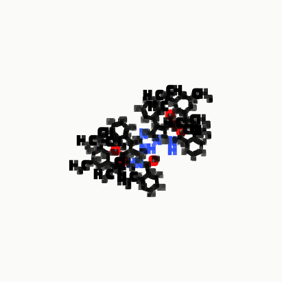 Cc1ccccc1C(=O)NC1=N/C(=N\c2[nH]c(NC(=O)c3ccccc3C)c(C(=O)OC3C(C(C)(C)C)CC(C)CC3C(C)(C)C)c2-c2ccccc2)C(c2ccccc2)=C1C(=O)OC1C(C(C)(C)C)CC(C)CC1C(C)(C)C